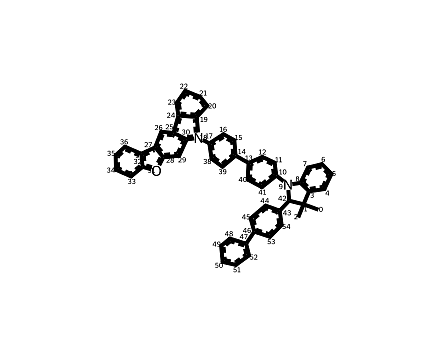 CC1(C)c2ccccc2N(c2ccc(-c3ccc(-n4c5ccccc5c5cc6c(cc54)oc4ccccc46)cc3)cc2)C1c1ccc(-c2ccccc2)cc1